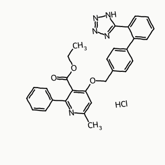 CCOC(=O)c1c(OCc2ccc(-c3ccccc3-c3nnn[nH]3)cc2)cc(C)nc1-c1ccccc1.Cl